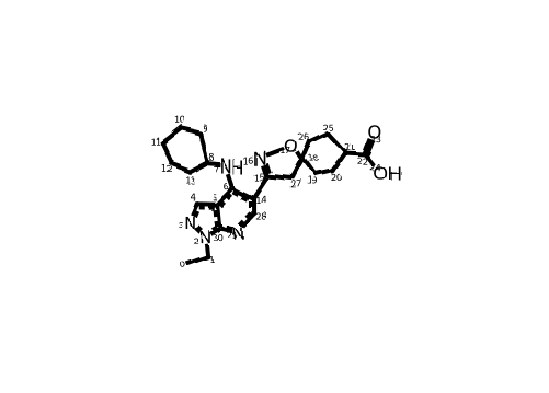 CCn1ncc2c(NC3CCCCC3)c(C3=NOC4(CCC(C(=O)O)CC4)C3)cnc21